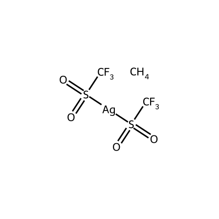 C.O=[S](=O)([Ag][S](=O)(=O)C(F)(F)F)C(F)(F)F